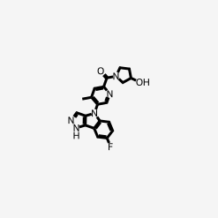 Cc1cc(C(=O)N2CCC(O)C2)ncc1-n1c2ccc(F)cc2c2[nH]ncc21